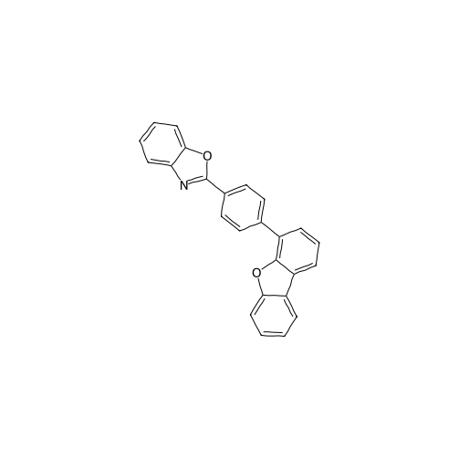 c1ccc2oc(-c3ccc(-c4cccc5c4oc4ccccc45)cc3)nc2c1